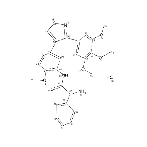 COc1ccc(-c2csnc2-c2cc(OC)c(OC)c(OC)c2)cc1NC(=O)C(N)c1ccccc1.Cl